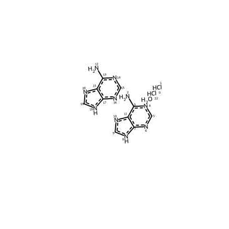 Cl.Cl.Nc1ncnc2[nH]cnc12.Nc1ncnc2[nH]cnc12.O